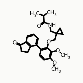 COc1ccc(-c2cccc3c2CCC3=O)c(OCC2(CNC(=O)C(C)C)CC2)c1OC